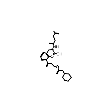 C=C(C)CCC(=C)N[C@H]1Cc2cccc(C(=C)CCOC(=C)CC3CCCCC3)c2OB1O